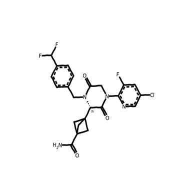 NC(=O)C12CC([C@H]3C(=O)N(c4ncc(Cl)cc4F)CC(=O)N3Cc3ccc(C(F)F)cc3)(C1)C2